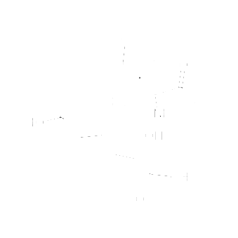 CC(C)(CO)C(N)C(=O)O.O=C(O)CCCC(O)C(=O)O